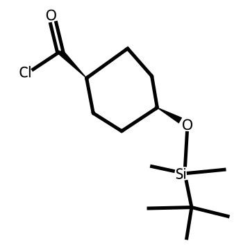 CC(C)(C)[Si](C)(C)O[C@H]1CC[C@@H](C(=O)Cl)CC1